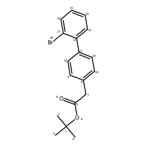 CC(C)(C)OC(=O)Cc1ccc(-c2ccccc2Br)cc1